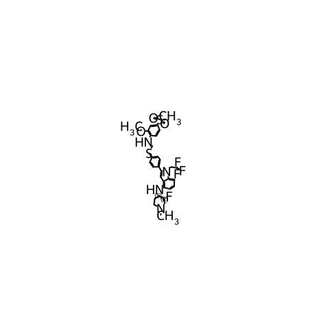 COc1cc(S(C)(=O)=O)ccc1NCSc1ccc(-c2cc3c(N[C@H]4CCN(C)C[C@H]4F)cccc3n2CC(F)(F)F)cc1